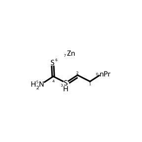 CCCCC=[SH]C(N)=S.[Zn]